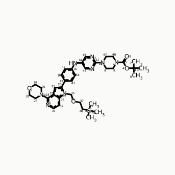 CC(C)(C)OC(=O)N1CCN(c2ncc(Nc3ccc(-c4cc5c(N6CCOCC6)nccc5n4COCC[Si](C)(C)C)cc3)cn2)CC1